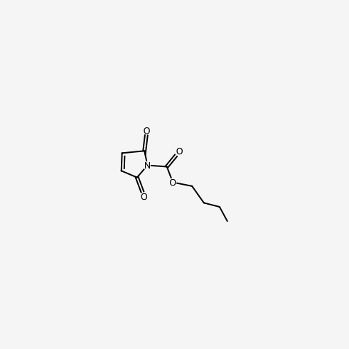 CCCCOC(=O)N1C(=O)C=CC1=O